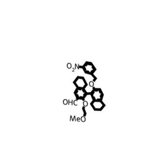 COCCOc1c(C=O)cc2c(c1-c1c(OCc3cccc([N+](=O)[O-])c3)ccc3c1CCCC3)CCCC2